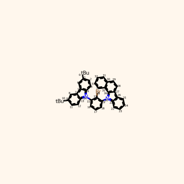 CC(C)(C)c1ccc2c(c1)c1cc(C(C)(C)C)ccc1n2-c1cccc(-n2c3ccccc3c3ccc4ccccc4c32)c1Br